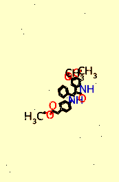 CCOC(=O)Cc1ccc(N/C(=C2\C(=O)Nc3cc(OC)c(OC)cc32)c2ccccc2)cc1